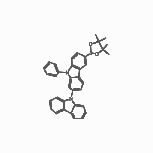 CC1(C)OB(c2ccc3c(c2)c2ccc(-n4c5ccccc5c5ccccc54)cc2n3-c2ccccc2)OC1(C)C